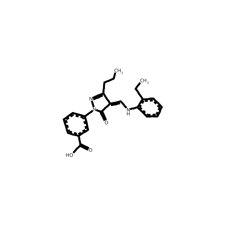 CCCC1=NN(c2cccc(C(=O)O)c2)C(=O)C1=CNc1ccccc1CC